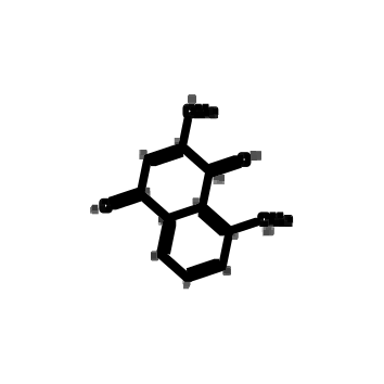 COC1=CC(=O)c2cccc(OC)c2C1=O